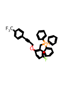 Fc1ccc(OCC#Cc2ccc(C(F)(F)F)cc2)c(C[PH](c2ccccc2)(c2ccccc2)c2ccccc2)c1